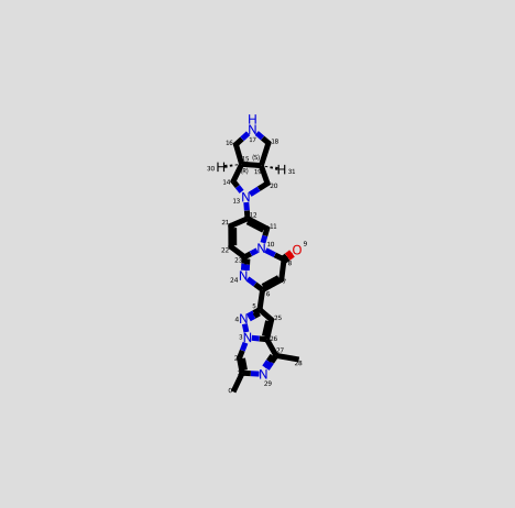 Cc1cn2nc(-c3cc(=O)n4cc(N5C[C@H]6CNC[C@H]6C5)ccc4n3)cc2c(C)n1